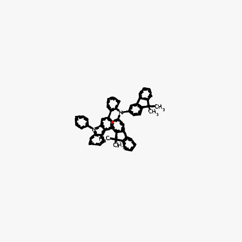 CC1(C)c2ccccc2-c2cc(N(c3ccc4c(c3)-c3ccccc3C4(C)C)c3ccccc3-c3ccc4c5ccccc5n(-c5ccccc5)c4c3)ccc21